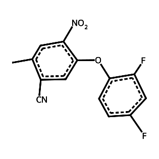 Cc1cc([N+](=O)[O-])c(Oc2ccc(F)cc2F)cc1C#N